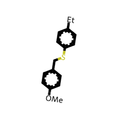 [CH2]Cc1ccc(SCc2ccc(OC)cc2)cc1